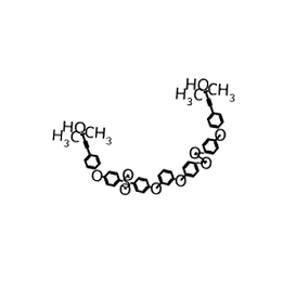 CC(C)(O)C#Cc1ccc(Oc2ccc(S(=O)(=O)c3ccc(Oc4cccc(Oc5ccc(S(=O)(=O)c6ccc(Oc7ccc(C#CC(C)(C)O)cc7)cc6)cc5)c4)cc3)cc2)cc1